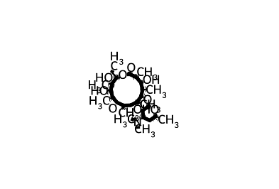 CC[C@H]1OC(=O)[C@H](C)C(O)[C@H](C)[C@@H](OC2C[C@@H](N(C)C)C[C@@H](C)O2)[C@](C)(O)C[C@@H](C)C(=O)[C@H](C)[C@@H](O)[C@]1(C)O